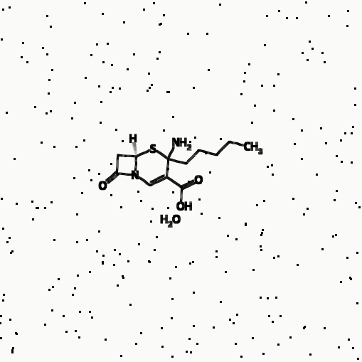 CCCCCC1(N)S[C@@H]2CC(=O)N2C=C1C(=O)O.O